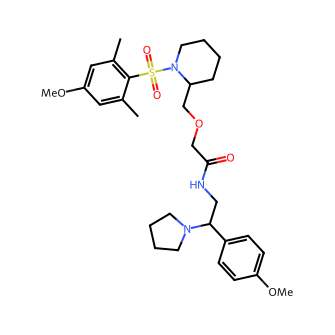 COc1ccc(C(CNC(=O)COCC2CCCCN2S(=O)(=O)c2c(C)cc(OC)cc2C)N2CCCC2)cc1